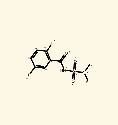 CN(C)S(=O)(=O)NC(=O)c1cc(F)ccc1F